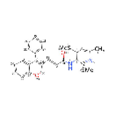 CSc1cc(C)nc(SC)c1NC(=O)C=CC1=C(c2ccccc2)c2ccccc2OC1